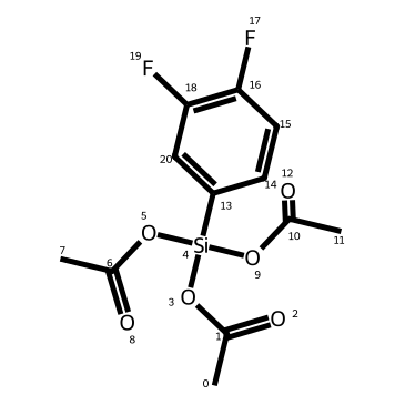 CC(=O)O[Si](OC(C)=O)(OC(C)=O)c1ccc(F)c(F)c1